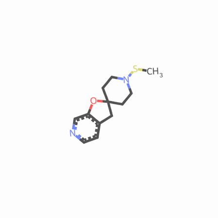 CSN1CCC2(CC1)Cc1ccncc1O2